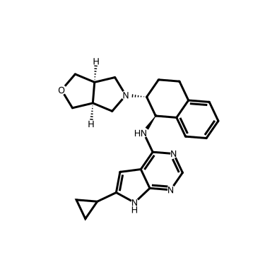 c1ccc2c(c1)CC[C@@H](N1C[C@H]3COC[C@H]3C1)[C@@H]2Nc1ncnc2[nH]c(C3CC3)cc12